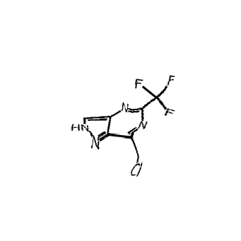 FC(F)(F)c1nc(Cl)c2n[nH]cc2n1